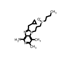 CCCC[S+]([O-])CCCn1c(CC2CC2)nc2c(N)nc(C)c(C)c21